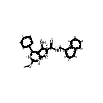 CSc1nc(-c2ccccc2)c2c(N)c(C(=O)NCc3cccc4ccccc34)sc2n1